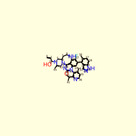 C=CC(O)N1CC2CCNc3c(F)c(-c4c(C)ccc5[nH]ncc45)cc4c3c(nc(=O)n4-c3c(C)ccnc3C(C)C)N2CC1C